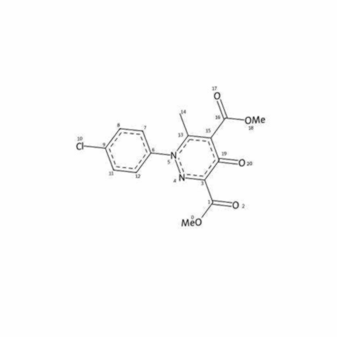 COC(=O)c1nn(-c2ccc(Cl)cc2)c(C)c(C(=O)OC)c1=O